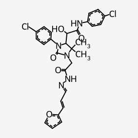 CC1(C)C(C(O)C(=O)Nc2ccc(Cl)cc2)N(c2ccc(Cl)cc2)C(=O)N1CC(=O)N/N=C/C=C/c1ccco1